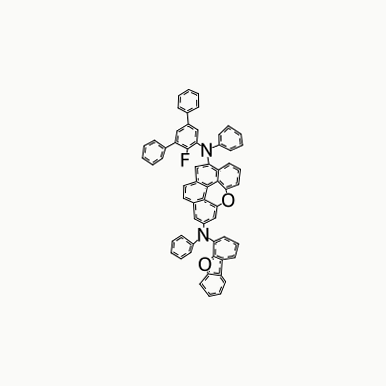 Fc1c(-c2ccccc2)cc(-c2ccccc2)cc1N(c1ccccc1)c1cc2ccc3cc(N(c4ccccc4)c4cccc5c4oc4ccccc45)cc4c3c2c2c(cccc12)O4